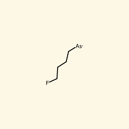 FCCCC[As]